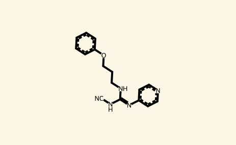 N#CNC(=Nc1ccncc1)NCCCOc1ccccc1